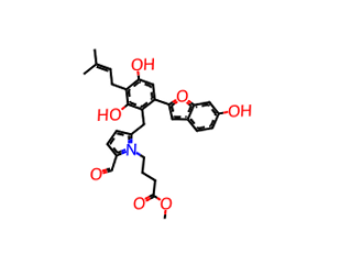 COC(=O)CCCn1c(C=O)ccc1Cc1c(-c2cc3ccc(O)cc3o2)cc(O)c(CC=C(C)C)c1O